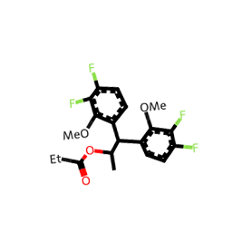 CCC(=O)OC(C)C(c1ccc(F)c(F)c1OC)c1ccc(F)c(F)c1OC